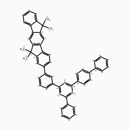 CC1(C)c2ccccc2-c2cc3c(cc21)-c1ccc(-c2cccc(-c4nc(-c5ccccc5)nc(-c5ccc(-c6ccccc6)cc5)n4)c2)cc1C3(C)C